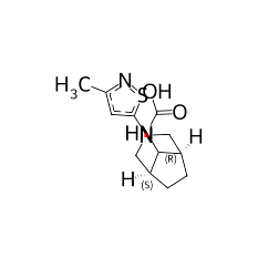 Cc1cc(N2C[C@H]3CC[C@@H](C2)C3NC(=O)O)sn1